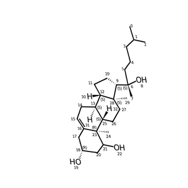 CC(C)CCC[C@](C)(O)[C@H]1CC[C@H]2[C@@H]3CC=C4C[C@@H](O)CC(O)[C@]4(C)[C@H]3CC[C@@]21C